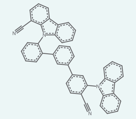 N#Cc1ccc(-c2cccc(-c3ccccc3-n3c4ccccc4c4cccc(C#N)c43)c2)cc1-n1c2ccccc2c2ccccc21